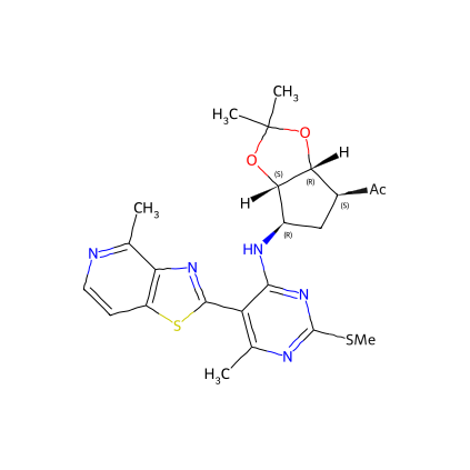 CSc1nc(C)c(-c2nc3c(C)nccc3s2)c(N[C@@H]2C[C@H](C(C)=O)[C@H]3OC(C)(C)O[C@H]32)n1